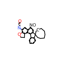 O=C=Nc1cc2c(N=O)cc3c(c2c2c1OCC2)-c1ccccc1C31CCCCCCCC1